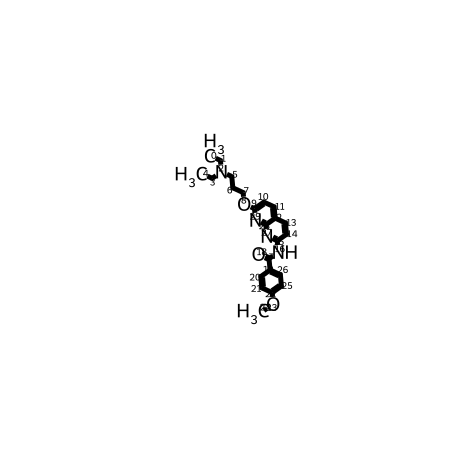 CCN(CC)CCCOc1ccc2ccc(NC(=O)c3ccc(OC)cc3)nc2n1